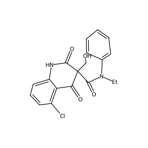 CCN(C(=O)C1(CO)C(=O)Nc2cccc(Cl)c2C1=O)c1ccccc1